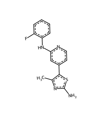 Cc1nc(N)sc1-c1ccnc(Nc2ccccc2F)c1